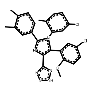 COc1ccc(Cl)cc1-c1c(-c2nn[nH]n2)nc(-c2ccc(C)c(C)c2)n1-c1cc(Cl)ccc1C